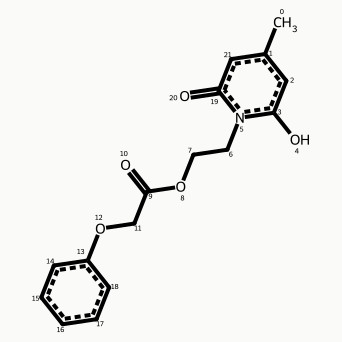 Cc1cc(O)n(CCOC(=O)COc2ccccc2)c(=O)c1